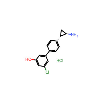 Cl.N[C@@H]1C[C@H]1c1ccc(-c2cc(O)cc(Cl)c2)cc1